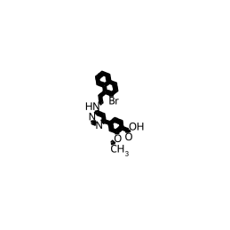 CCOc1cc(-c2cc(NCCc3c(Br)ccc4ccccc34)ncn2)ccc1C(=O)O